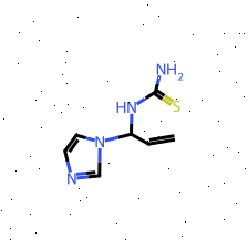 C=CC(NC(N)=S)n1ccnc1